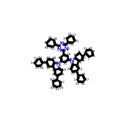 c1ccc(-c2ccc3c(c2)c2cc(-c4ccccc4)ccc2n3-c2cc(-c3nc(-c4ccccc4)nc(-c4ccccc4)n3)cc(-n3c4ccc(-c5ccccc5)cc4c4cc(-c5ccccc5)ccc43)c2)cc1